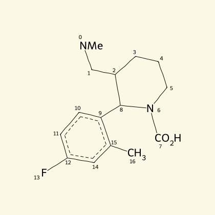 CNCC1CCCN(C(=O)O)C1c1ccc(F)cc1C